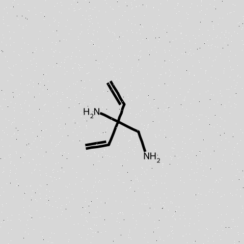 C=CC(N)(C=C)CN